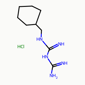 Cl.N=C(N)NC(=N)NCC1CCCCC1